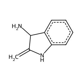 C=C1Nc2ccccc2C1N